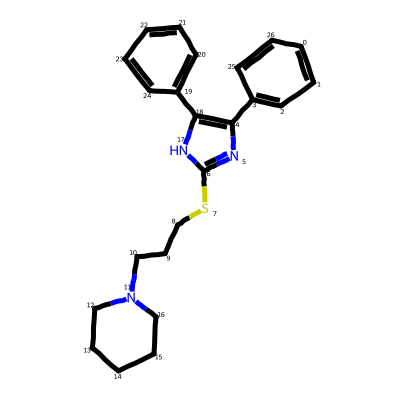 c1ccc(-c2nc(SCCCN3CCCCC3)[nH]c2-c2ccccc2)cc1